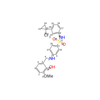 COc1cccc(CNc2ccc(S(=O)(=O)Nc3cccc(C4(C(F)(F)F)CC4)c3)cc2)c1O